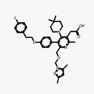 Cc1cc(C)n(COCc2nc(C)c(CC(=O)O)c(N3CCC(C)(C)CC3)c2-c2ccc(OCCc3ccc(F)cc3)cc2)n1